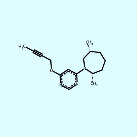 CC#CCOc1cc(N2C[C@H](C)CCC[C@@H]2C)ncn1